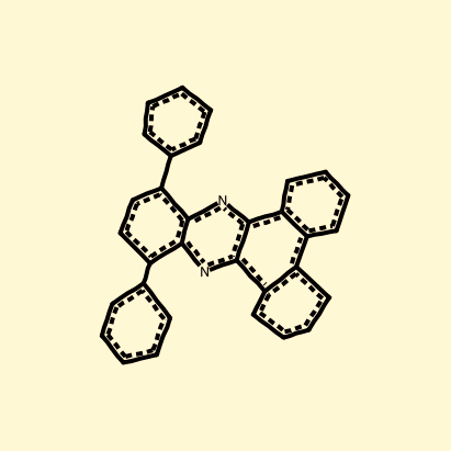 c1ccc(-c2ccc(-c3ccccc3)c3nc4c5ccccc5c5ccccc5c4nc23)cc1